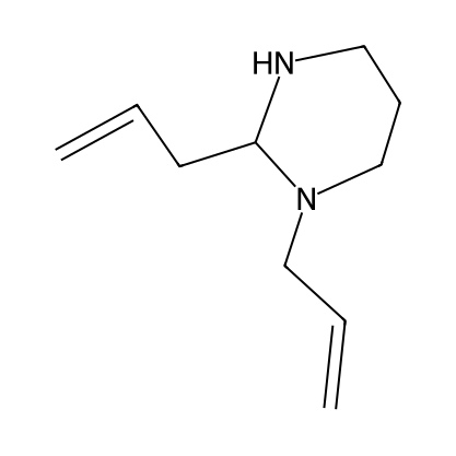 C=CCC1NCCCN1CC=C